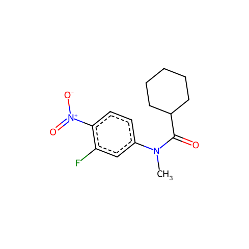 CN(C(=O)C1CCCCC1)c1ccc([N+](=O)[O-])c(F)c1